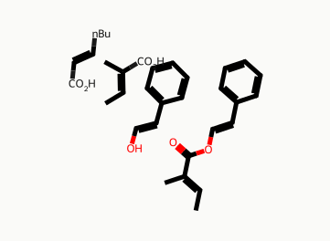 CC=C(C)C(=O)O.CC=C(C)C(=O)OC=Cc1ccccc1.CCCCC=CC(=O)O.OC=Cc1ccccc1